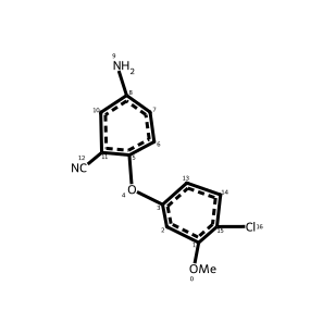 COc1cc(Oc2ccc(N)cc2C#N)ccc1Cl